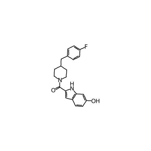 O=C(c1cc2ccc(O)cc2[nH]1)N1CCC(Cc2ccc(F)cc2)CC1